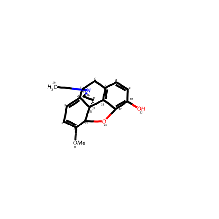 COC1=CC=C2C3Cc4ccc(O)c5c4[C@@]2(CCN3C)C1O5